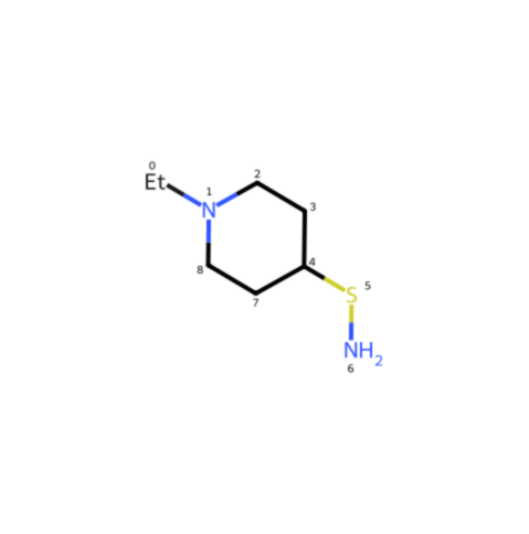 CCN1CCC(SN)CC1